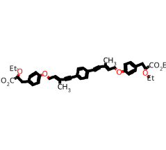 CCOC(=O)C(Cc1ccc(OC/C=C(\C)C#Cc2ccc(C#C/C(C)=C/COc3ccc(CC(OCC)C(=O)O)cc3)cc2)cc1)OCC